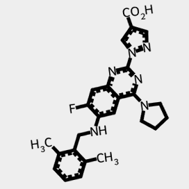 Cc1cccc(C)c1CNc1cc2c(N3CCCC3)nc(-n3cc(C(=O)O)cn3)nc2cc1F